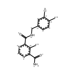 NC(=O)c1ncnc(C(=O)NCc2ccc(F)c(Cl)c2)c1F